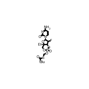 CC[C@]12COP(=O)(OCSC(=O)C(C)(C)C)OC1C(F)[C@H](n1ccc(N)nc1=O)O2